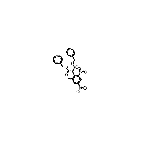 Cc1cc([N+](=O)[O-])cc([N+](=O)[O-])c1C(C(=O)OCc1ccccc1)C(=O)OCc1ccccc1